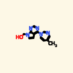 CC1=CN=CN(c2ncnc3c2ccn3CO)C=C1